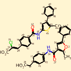 Cc1oc(-c2ccccc2)cc1C(=O)Nc1ccc(CC(=O)O)cc1.O=C(O)C(Cl)=Cc1ccc(C(=O)Nc2cc(-c3ccccc3)c(C(=O)O)s2)cc1